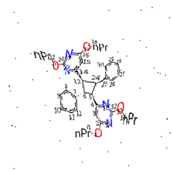 CCCOc1cc([C@H]2[C@H](c3ccccc3)[C@@H](c3cc(OCCC)nc(OCCC)n3)[C@H]2c2ccccc2)nc(OCCC)n1